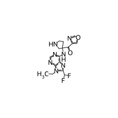 CCn1c(C(F)F)nc2c(NC3(C(=O)c4cocn4)CCNC3)ncnc21